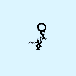 COC(=O)C1(CNC(=O)c2cc3c(s2)CCCCCC3)CC(F)(F)C1